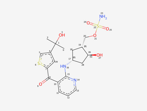 CC(C)(O)c1csc(C(=O)c2cccnc2N[C@@H]2C[C@H](COS(N)(=O)=O)[C@@H](O)C2)c1